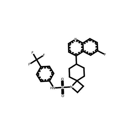 O=S(=O)(Nc1ccc(C(F)(F)F)cc1)N1CCC12CCC(c1ccnc3ccc(F)cc13)CC2